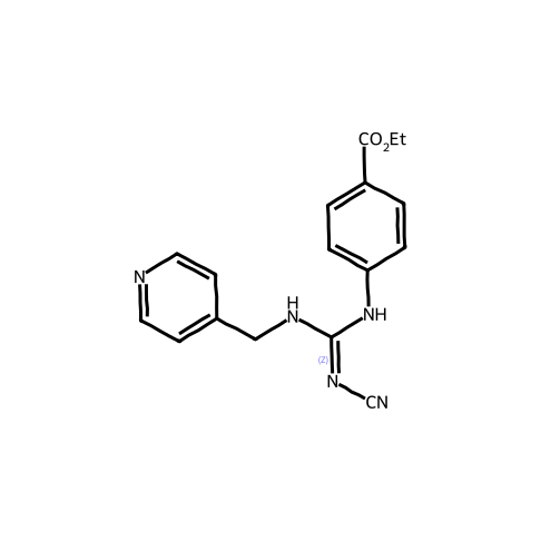 CCOC(=O)c1ccc(N/C(=N\C#N)NCc2ccncc2)cc1